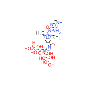 CCn1c(CNC(=O)c2nc3cc[nH]c3nc2N)[n+](CC)c2ccc(C(=O)N3CC[C@@H](N(CC(O)C(O)C(O)C(O)CO)CC(O)C(O)C(O)C(O)CO)C3)cc21